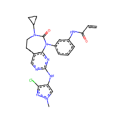 C=CC(=O)Nc1cccc(N2C(=O)N(C3CC3)CCc3cnc(Nc4cn(C)nc4Cl)nc32)c1